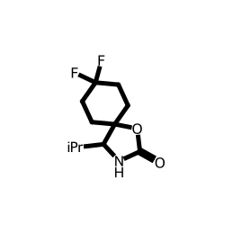 CC(C)C1NC(=O)OC12CCC(F)(F)CC2